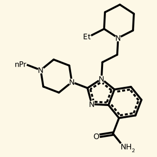 CCCN1CCN(c2nc3c(C(N)=O)cccc3n2CCN2CCCCC2CC)CC1